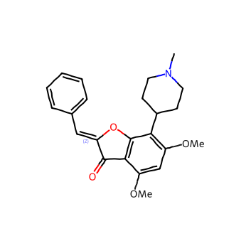 COc1cc(OC)c(C2CCN(C)CC2)c2c1C(=O)/C(=C/c1ccccc1)O2